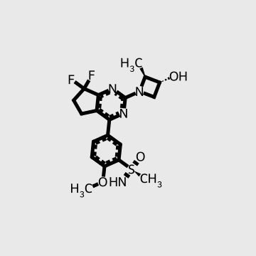 COc1ccc(-c2nc(N3C[C@@H](O)[C@@H]3C)nc3c2CCC3(F)F)cc1[S@@](C)(=N)=O